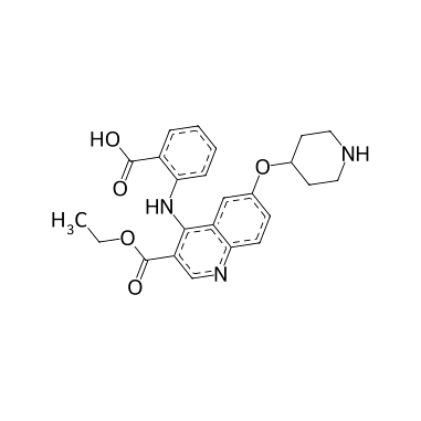 CCOC(=O)c1cnc2ccc(OC3CCNCC3)cc2c1Nc1ccccc1C(=O)O